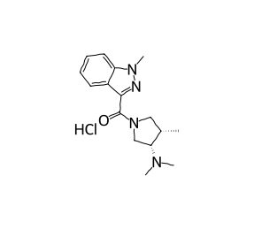 C[C@H]1CN(C(=O)c2nn(C)c3ccccc23)C[C@H]1N(C)C.Cl